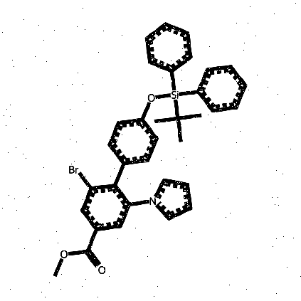 COC(=O)c1cc(Br)c(-c2ccc(O[Si](c3ccccc3)(c3ccccc3)C(C)(C)C)cc2)c(-n2cccc2)c1